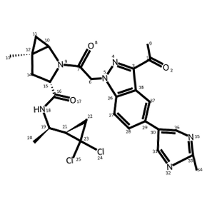 CC(=O)c1nn(CC(=O)N2C3C[C@]3(C)C[C@H]2C(=O)N[C@H](C)[C@H]2CC2(Cl)Cl)c2ccc(-c3cnc(C)nc3)cc12